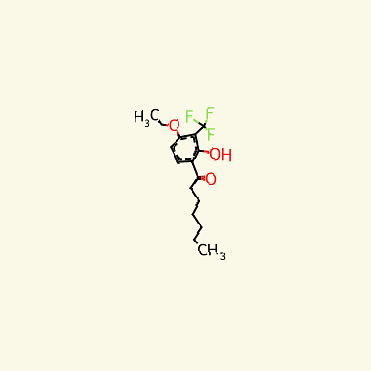 CCCCCCC(=O)c1ccc(OCC)c(C(F)(F)F)c1O